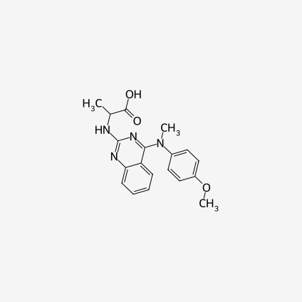 COc1ccc(N(C)c2nc(NC(C)C(=O)O)nc3ccccc23)cc1